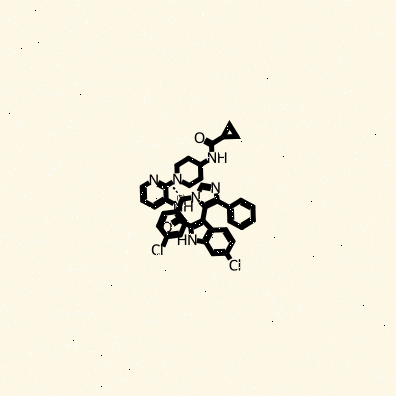 C[C@@H](c1ccc(Cl)cc1)n1cnc(-c2ccccc2)c1-c1c(C(=O)Nc2cccnc2N2CCC(NC(=O)C3CC3)CC2)[nH]c2cc(Cl)ccc12